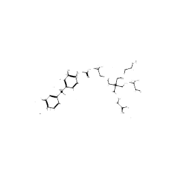 Cc1cc(C(C)(C)c2ccc(OC(=O)OC(C)COCC(COCCO)(COCC(C)O)COC(C)CO)c(C)c2)ccc1O